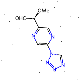 CO[C@H](C=O)c1cnc(-n2cnnn2)cn1